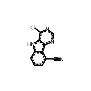 N#Cc1cccc2[nH]c3c(Cl)ncnc3c12